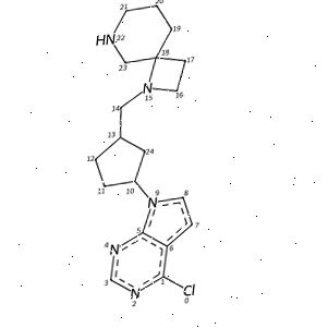 Clc1ncnc2c1ccn2C1CCC(CN2CCC23CCCNC3)C1